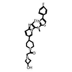 CCc1nc2ccc(C3CCN(C(=O)CN4CC(O)C4)CC3)cn2c1N(C)c1nc(-c2ccc(F)cc2)cs1